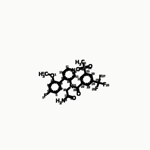 COc1cc(F)ccc1-c1ccncc1N(CC(N)=O)C(=O)c1cc(C(F)(F)F)cc(S(C)(=O)=O)c1